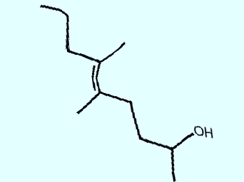 CCC/C(C)=C(\C)CCC(C)O